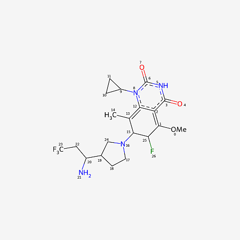 COC1=c2c(=O)[nH]c(=O)n(C3CC3)c2=C(C)C(N2CCC(C(N)CC(F)(F)F)C2)C1F